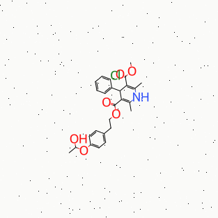 COC(=O)C1=C(C)NC(C)=C(C(=O)OCCc2ccc(OC(C)O)cc2)C1c1ccccc1Cl